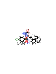 CCc1cccc([C@@H](C)[C@H](NS(=O)(=O)c2ccc(Cl)cc2OC)c2n[nH]c(=O)o2)c1C